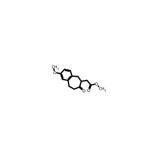 COC(=O)CC1Cc2ccc(OC)cc2CCC1=O